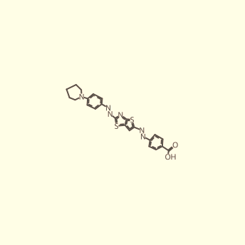 O=C(O)c1ccc(N=Nc2cc3sc(N=Nc4ccc(N5CCCCC5)cc4)nc3s2)cc1